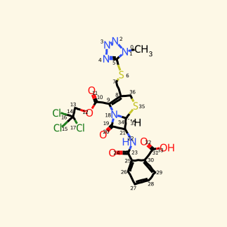 Cn1nnnc1SCC1=C(C(=O)OCC(Cl)(Cl)Cl)N2C(=O)C(NC(=O)c3ccccc3C(=O)O)[C@@H]2SC1